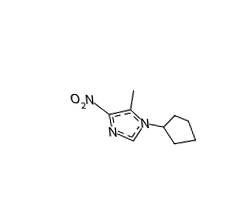 Cc1c([N+](=O)[O-])ncn1C1CCCC1